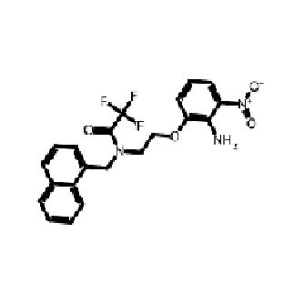 Nc1c(OCCN(Cc2cccc3ccccc23)C(=O)C(F)(F)F)cccc1[N+](=O)[O-]